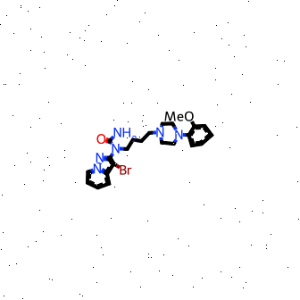 COc1ccccc1N1CCN(CCCCN(C(N)=O)c2nn3ccccc3c2Br)CC1